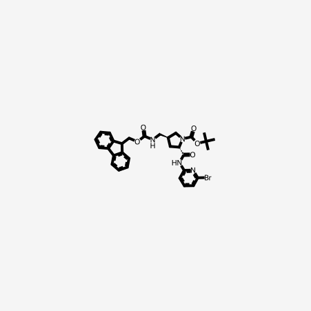 CC(C)(C)OC(=O)N1C[C@H](CNC(=O)OCC2c3ccccc3-c3ccccc32)C[C@H]1C(=O)Nc1cccc(Br)n1